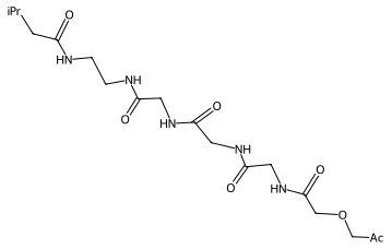 CC(=O)COCC(=O)NCC(=O)NCC(=O)NCC(=O)NCCNC(=O)CC(C)C